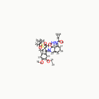 [2H]C([2H])([2H])S(=O)(=O)C([2H])([2H])[C@H](c1ccc(OC)c(OCC)c1)N1Cc2cccc(NC(=O)C3CC3)c2C1=O